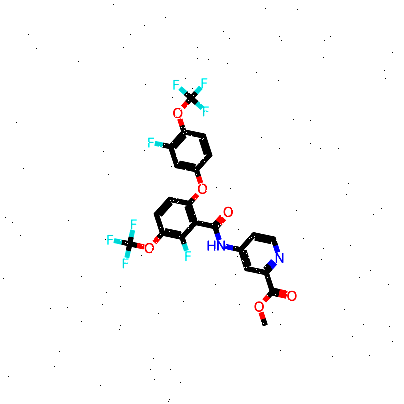 COC(=O)c1cc(NC(=O)c2c(Oc3ccc(OC(F)(F)F)c(F)c3)ccc(OC(F)(F)F)c2F)ccn1